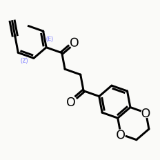 C#C/C=C\C(=C/C)C(=O)CCC(=O)c1ccc2c(c1)OCCO2